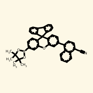 CC1(C)OB(c2ccc3c(c2)Oc2cc(-c4ccc(C#N)c5ccccc45)ccc2C32c3ccccc3-c3ccccc32)OC1(C)C